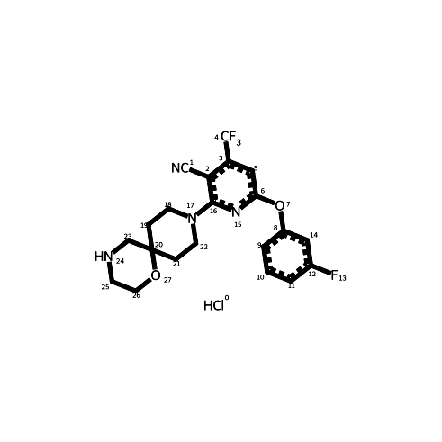 Cl.N#Cc1c(C(F)(F)F)cc(Oc2cccc(F)c2)nc1N1CCC2(CC1)CNCCO2